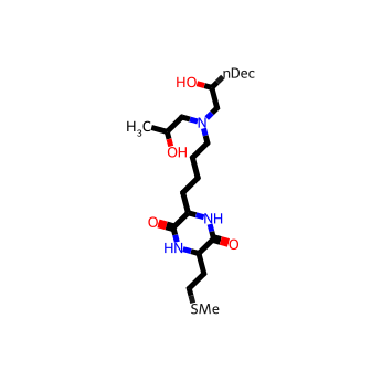 CCCCCCCCCCC(O)CN(CCCCC1NC(=O)C(CCSC)NC1=O)CC(C)O